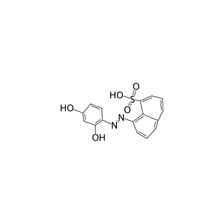 O=S(=O)(O)c1cccc2cccc(/N=N/c3ccc(O)cc3O)c12